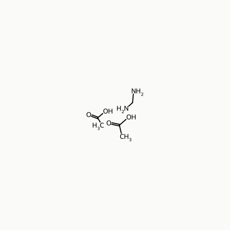 CC(=O)O.CC(=O)O.NCN